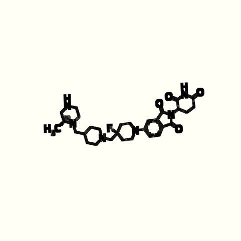 C[C@H]1CNCCN1CC1CCN(CC2(F)CCN(c3ccc4c(c3)C(=O)N(C3CCC(=O)NC3=O)C4=O)CC2)CC1